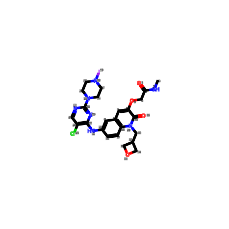 CNC(=O)COc1cc2cc(Nc3nc(N4CCN(I)CC4)ncc3Cl)ccc2n(CC2COC2)c1=O